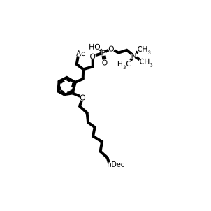 CCCCCCCCCCCCCCCCCCOc1ccccc1CC(COP(=O)(O)OCC[N+](C)(C)C)CC(C)=O